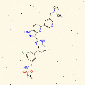 CN(C)Cc1cncc(-c2ccc3[nH]nc(-c4nc5c(-c6cc(F)cc(CNS(C)(=O)=O)c6)cccc5[nH]4)c3n2)c1